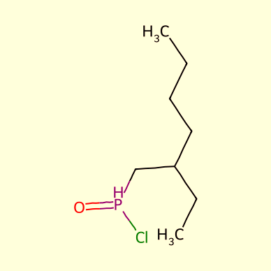 CCCCC(CC)C[PH](=O)Cl